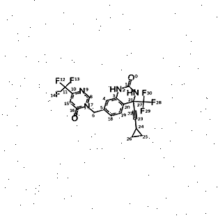 O=C1Nc2cc(Cn3cnc(C(F)(F)F)cc3=O)ccc2C(C#CC2CC2)(C(F)(F)F)N1